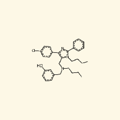 CCCCN(Cc1cccc(O)c1)Cc1c(-c2ccc(Cl)cc2)nc(-c2ccccc2)n1CCCC